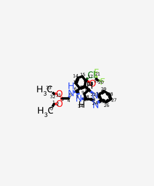 CCOC(CNC1=N[C@@H]2C[C@H](C3=C1C=CCC3(Cl)OC(F)F)n1c2nc2ccccc21)OCC